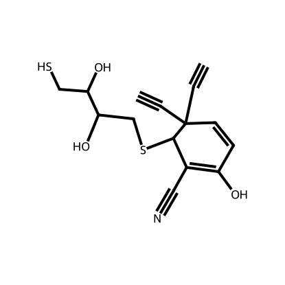 C#CC1(C#C)C=CC(O)=C(C#N)C1SCC(O)C(O)CS